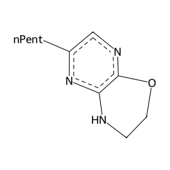 CCCCCc1cnc2c(n1)NCCO2